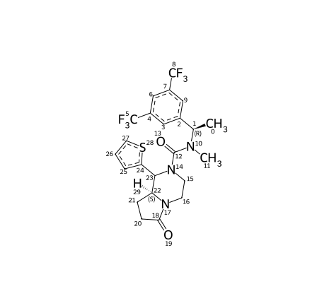 C[C@H](c1cc(C(F)(F)F)cc(C(F)(F)F)c1)N(C)C(=O)N1CCN2C(=O)CC[C@H]2C1c1cccs1